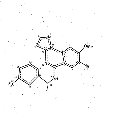 COc1cc2c(cc1Br)c(N[C@H](C)c1cccc(C(F)(F)F)c1)nc1ccnn12